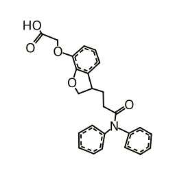 O=C(O)COc1cccc2c1OCC2CCC(=O)N(c1ccccc1)c1ccccc1